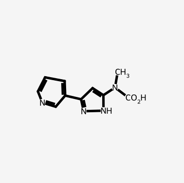 CN(C(=O)O)c1cc(-c2cccnc2)n[nH]1